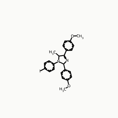 COc1ccc(C2=NC(c3ccc(OC)cc3)N(c3ccc(I)cc3)C2C)cc1